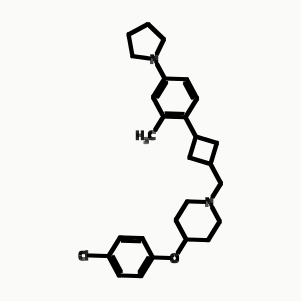 Cc1cc(N2CCCC2)ccc1C1CC(CN2CCC(Oc3ccc(Cl)cc3)CC2)C1